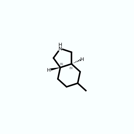 CC1CC[C@@H]2CNC[C@H]2C1